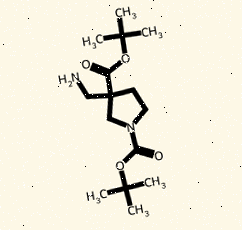 CC(C)(C)OC(=O)N1CCC(CN)(C(=O)OC(C)(C)C)C1